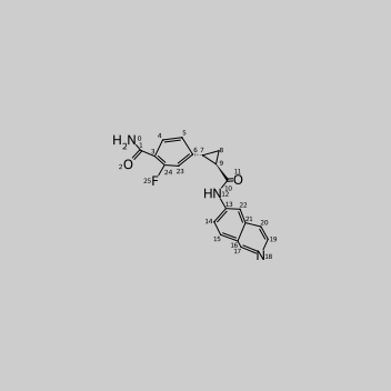 NC(=O)c1ccc([C@@H]2C[C@H]2C(=O)Nc2ccc3cnccc3c2)cc1F